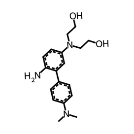 CN(C)c1ccc(-c2cc(N(CCO)CCO)ccc2N)cc1